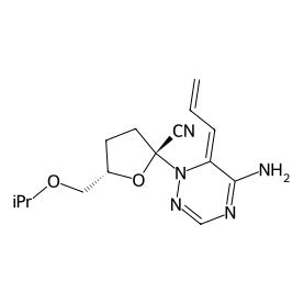 C=C/C=C1/C(N)=NC=NN1[C@@]1(C#N)CC[C@@H](COC(C)C)O1